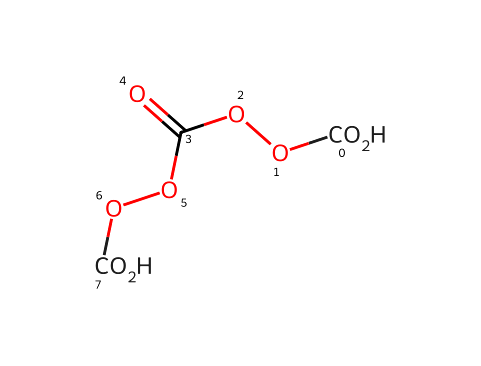 O=C(O)OOC(=O)OOC(=O)O